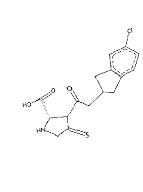 O=C(CC1Cc2ccc(Cl)cc2C1)C1C(=S)CN[C@@H]1C(=O)O